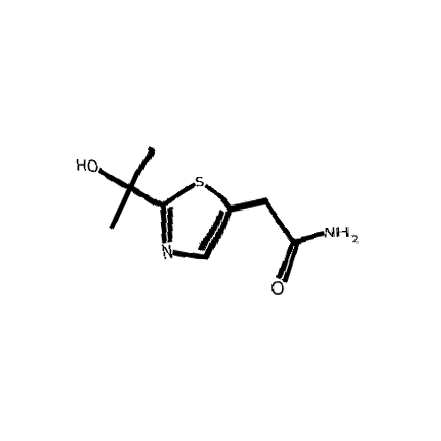 CC(C)(O)c1ncc(CC(N)=O)s1